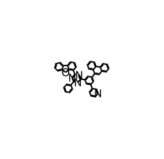 c1ccc(-c2nc(-c3cc(-c4cccnc4)cc(-c4cc5ccccc5c5ccccc45)c3)nc(-c3cccc4c3oc3ccccc34)n2)cc1